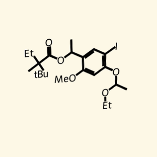 CCOC(C)Oc1cc(OC)c(C(C)OC(=O)C(C)(CC)C(C)(C)C)cc1I